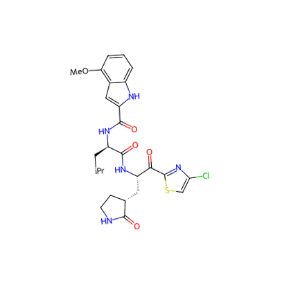 COc1cccc2[nH]c(C(=O)N[C@H](CC(C)C)C(=O)N[C@@H](C[C@H]3CCNC3=O)C(=O)c3nc(Cl)cs3)cc12